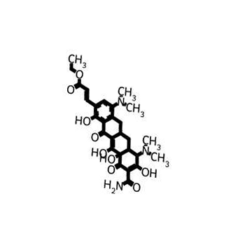 CCOC(=O)/C=C/c1cc(N(C)C)c2c(c1O)C(=O)C1=C(O)C3(O)C(=O)C(C(N)=O)=C(O)C(N(C)C)C3CC1C2